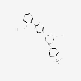 COc1ccccc1-c1ncc([C@@H]2CC(O)(c3ccc(C(F)(F)F)cc3)C[C@H](C)N2)cn1